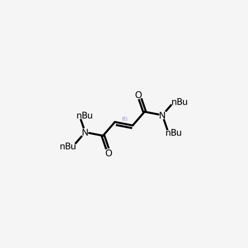 CCCCN(CCCC)C(=O)/C=C/C(=O)N(CCCC)CCCC